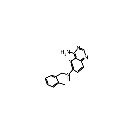 Cc1ccccc1CNc1ccc2ncnc(N)c2n1